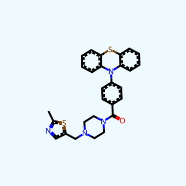 Cc1ncc(CN2CCN(C(=O)c3ccc(N4c5ccccc5Sc5ccccc54)cc3)CC2)s1